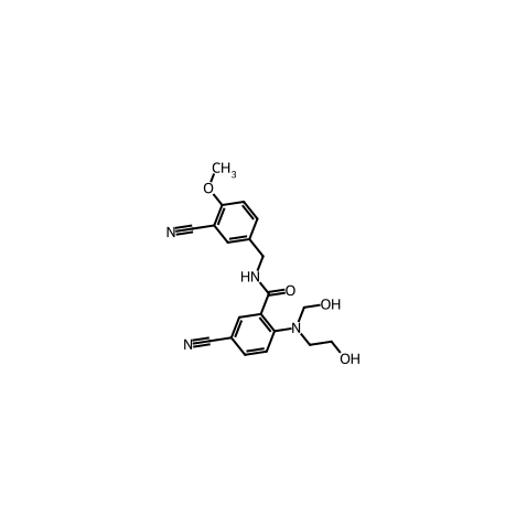 COc1ccc(CNC(=O)c2cc(C#N)ccc2N(CO)CCO)cc1C#N